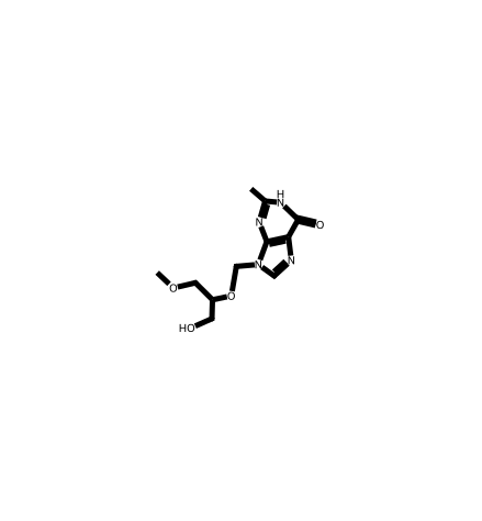 COCC(CO)OCn1cnc2c(=O)[nH]c(C)nc21